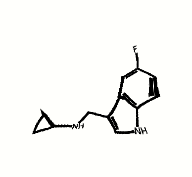 Fc1ccc2[nH]cc(CNC3CC3)c2c1